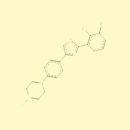 [O-][S+]1CCN(c2ccc(-c3cnc(-c4cccc(F)c4F)s3)cc2)CC1